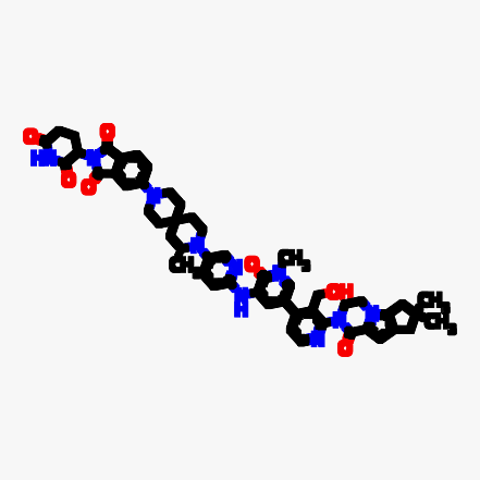 C[C@H]1CC2(CCN(c3ccc4c(c3)C(=O)N(C3CCC(=O)NC3=O)C4=O)CC2)CCN1c1ccc(Nc2cc(-c3ccnc(N4CCn5c(cc6c5CC(C)(C)C6)C4=O)c3CO)cn(C)c2=O)nc1